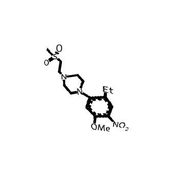 CCc1cc([N+](=O)[O-])c(OC)cc1N1CCN(CCS(C)(=O)=O)CC1